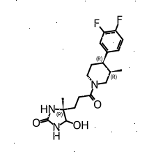 C[C@H]1CN(C(=O)CC[C@@]2(C)NC(=O)NC2O)CC[C@H]1c1ccc(F)c(F)c1